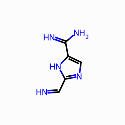 N=Cc1ncc(C(=N)N)[nH]1